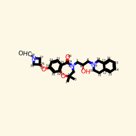 CC1(C)CN(C[C@H](O)CN2CCc3ccccc3C2)C(=O)c2ccc(OC3CN(C=O)C3)cc2O1